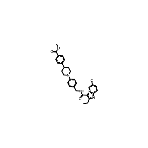 CCc1nc2ccc(Cl)cn2c1C(=O)NCc1ccc(N2CCC(c3ccc(C(=O)OC)cc3)CC2)cc1